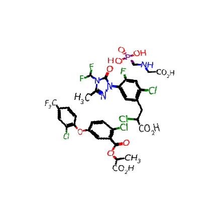 C[C@H](OC(=O)c1cc(Oc2ccc(C(F)(F)F)cc2Cl)ccc1Cl)C(=O)O.Cc1nn(-c2cc(CC(Cl)C(=O)O)c(Cl)cc2F)c(=O)n1C(F)F.O=C(O)CNCP(=O)(O)O